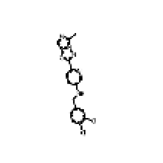 Cc1ncc2oc(-c3ccc(NCc4ccc(Cl)c(Cl)c4)cn3)nn12